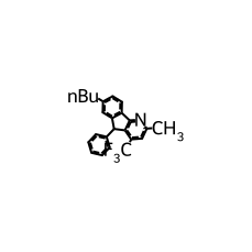 CCCCc1ccc2c(c1)C(c1ccccc1)c1c(C(F)(F)F)cc(C)nc1-2